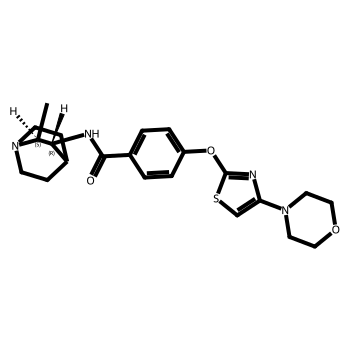 C[C@H]1[C@H](NC(=O)c2ccc(Oc3nc(N4CCOCC4)cs3)cc2)C2CCN1CC2